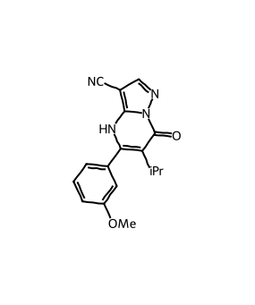 COc1cccc(-c2[nH]c3c(C#N)cnn3c(=O)c2C(C)C)c1